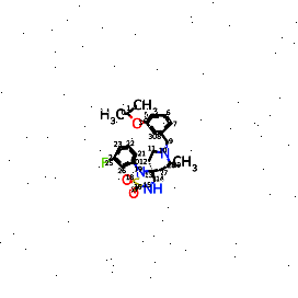 CC(C)Oc1cccc(CN2CC[C@@]3(CNS(=O)(=O)N3c3cccc(F)c3)C[C@@H]2C)c1